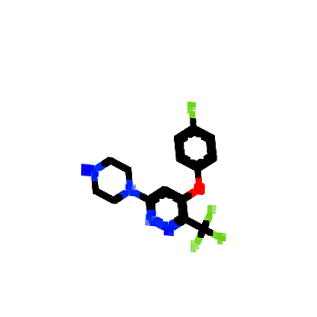 Fc1ccc(Oc2cc(N3CCNCC3)nnc2C(F)(F)F)cc1